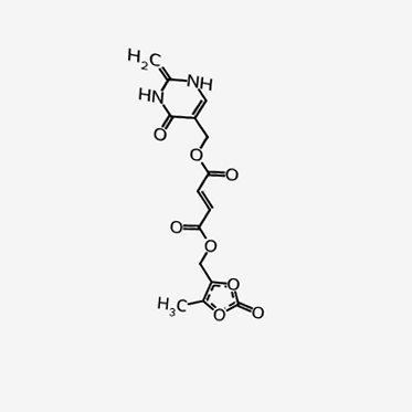 C=C1NC=C(COC(=O)/C=C/C(=O)OCc2oc(=O)oc2C)C(=O)N1